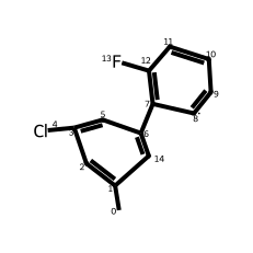 Cc1cc(Cl)cc(-c2[c]cccc2F)c1